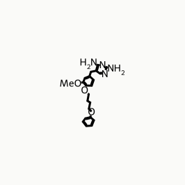 COc1cc(Cc2cnc(N)nc2N)ccc1OCCCCOc1ccccc1